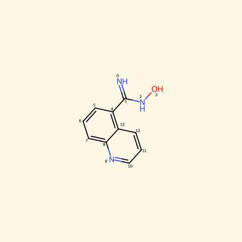 N=C(NO)c1cccc2ncccc12